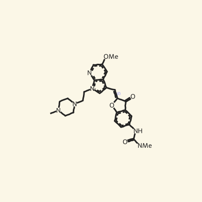 CNC(=O)Nc1ccc2c(c1)C(=O)/C(=C/c1cn(CCN3CCN(C)CC3)c3ncc(OC)cc13)O2